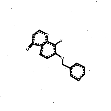 O=c1ccoc2c(Br)c(OCc3ccccc3)ccc12